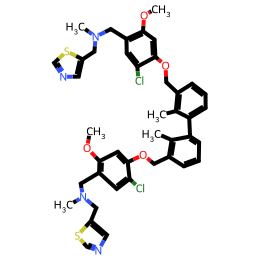 COc1cc(OCc2cccc(-c3cccc(COc4cc(OC)c(CN(C)Cc5cncs5)cc4Cl)c3C)c2C)c(Cl)cc1CN(C)Cc1cncs1